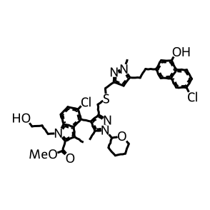 COC(=O)c1c(C)c2c(-c3c(CSCc4cc(CCc5cc(O)c6ccc(Cl)cc6c5)n(C)n4)nn(C4CCCCO4)c3C)c(Cl)ccc2n1CCCO